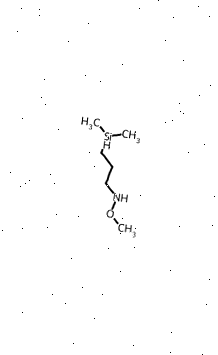 CONCCC[SiH](C)C